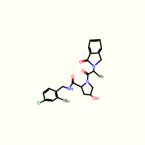 CC(C)C(C(=O)N1CC(O)CC1C(=O)NCc1ccc(Cl)cc1C(C)(C)C)N1Cc2ccccc2C1=O